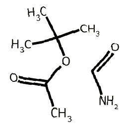 CC(=O)OC(C)(C)C.NC=O